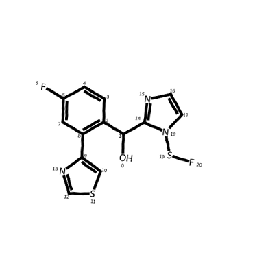 OC(c1ccc(F)cc1-c1cscn1)c1nccn1SF